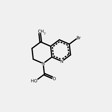 C=C1CCN(C(=O)O)c2ncc(Br)cc21